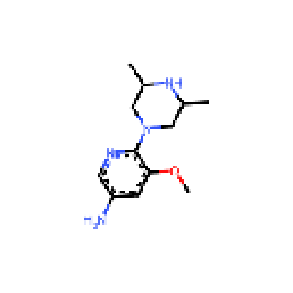 COc1cc(N)cnc1N1CC(C)NC(C)C1